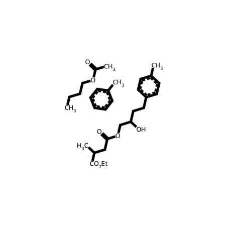 CCCCOC(C)=O.CCOC(=O)C(C)CC(=O)OCC(O)CCc1ccc(C)cc1.Cc1ccccc1